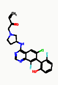 C=CC(=O)CN1CCC(Nc2ncnc3c(F)c(-c4c(O)cccc4F)c(Cl)cc23)C1